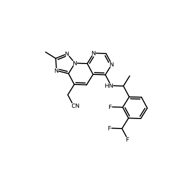 Cc1nc2c(CC#N)cc3c(NC(C)c4cccc(C(F)F)c4F)ncnc3n2n1